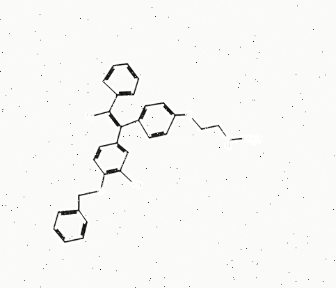 CCC(=C(c1ccc(OCCNC(=O)O)cc1)c1ccc(OCc2ccccc2)c(C#N)c1)c1ccccc1